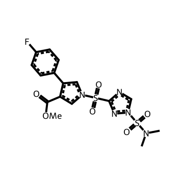 COC(=O)c1cn(S(=O)(=O)c2ncn(S(=O)(=O)N(C)C)n2)cc1-c1ccc(F)cc1